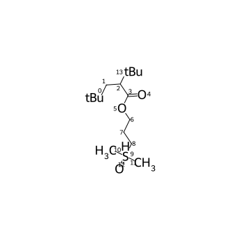 CC(C)(C)CC(C(=O)OCCC[SH](C)(C)=O)C(C)(C)C